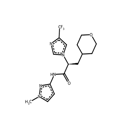 Cn1ccc(NC(=O)[C@H](CC2CCOCC2)n2cnc(C(F)(F)F)c2)n1